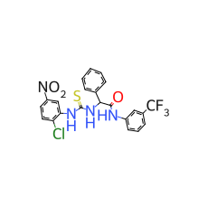 O=C(Nc1cccc(C(F)(F)F)c1)C(NC(=S)Nc1cc([N+](=O)[O-])ccc1Cl)c1ccccc1